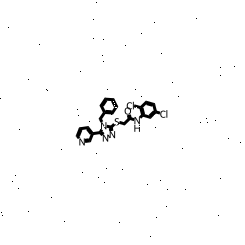 O=C(CSc1nnc(-c2cccnc2)n1Cc1ccccc1)Nc1cc(Cl)ccc1Cl